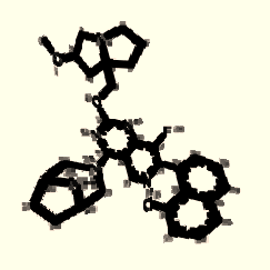 COC1CN2CCCC2(COc2nc(N3CC4CCC(C3)N4)c3cnc(-c4cccc5cccc(Cl)c45)c(F)c3n2)C1